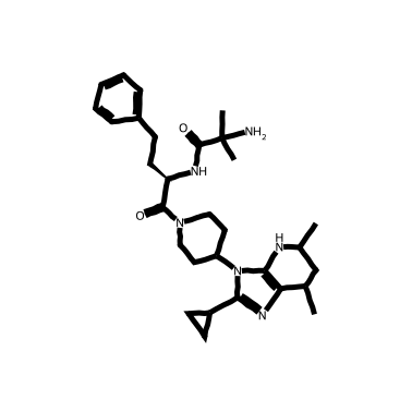 CC1CC(C)c2nc(C3CC3)n(C3CCN(C(=O)[C@@H](CCc4ccccc4)NC(=O)C(C)(C)N)CC3)c2N1